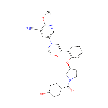 COc1ncc(N2C=COC(C3=C(O[C@H]4CCN(C(=O)C5CCC(O)CC5)C4)C=CCC3)=C2)cc1C#N